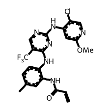 C=CC(=O)Nc1cc(C)ccc1Nc1nc(Nc2cc(OC)ncc2Cl)ncc1C(F)(F)F